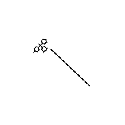 C#CC#CC#CC#CC#CC#CC#CC#CC#CC#CC#COc1cc(C)cc(C(Cl)(c2ccc(Cl)cc2)c2ccc(Cl)cc2)c1